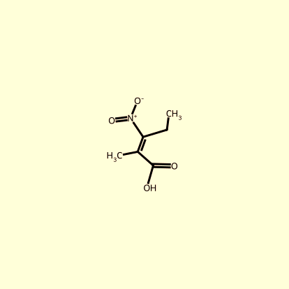 CC/C(=C(/C)C(=O)O)[N+](=O)[O-]